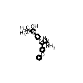 CN(C)[C@H]1CN(C2CCC(n3cc(-c4ccc(Oc5ccccc5)cc4)c4c(N)ncnc43)CC2)C[C@H]1O